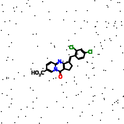 O=C(O)c1ccc2nc3c(c(=O)n2c1)CCC3=Cc1ccc(Cl)cc1Cl